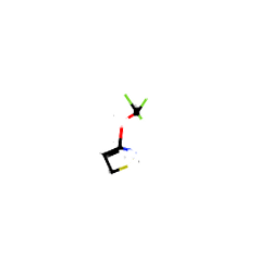 FC(F)(F)OC1=C[C]SN1